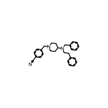 N#Cc1ccc(CN2CCC(N(CCc3ccccc3)Cc3ccccc3)CC2)cc1